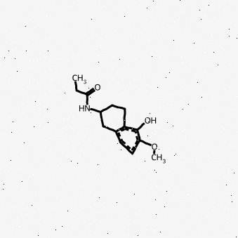 CCC(=O)NC1CCc2c(ccc(OC)c2O)C1